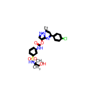 CCc1cc(-c2ccc(Cl)cc2)nc2c(OC(=O)Nc3cccc(S(=O)(=O)NC(C)(C)CO)c3)cnn12